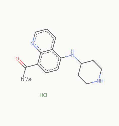 CNC(=O)c1ccc(NC2CCNCC2)c2cccnc12.Cl